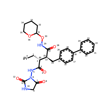 CC(C)C[C@@H](C(=O)NN1C(=O)CNC1=O)[C@H](Cc1ccc(-c2ccccc2)cc1)C(=O)NOC1CCCCO1